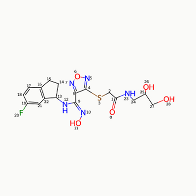 O=C(CSc1nonc1/C(=N/O)NC1CCc2ccc(F)cc21)NCC(O)CO